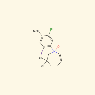 CCC1(CC)C=CC=C[N+]([O-])(c2cc(Br)c(OC)cc2I)C1